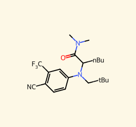 CCCCC(C(=O)N(C)C)N(CC(C)(C)C)c1ccc(C#N)c(C(F)(F)F)c1